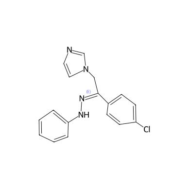 Clc1ccc(/C(Cn2ccnc2)=N\Nc2ccccc2)cc1